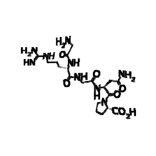 N=C(N)NCCC[C@H](NC(=O)CN)C(=O)NCC(=O)N[C@@H](CC(N)=O)C(=O)N1CCC[C@H]1C(=O)O